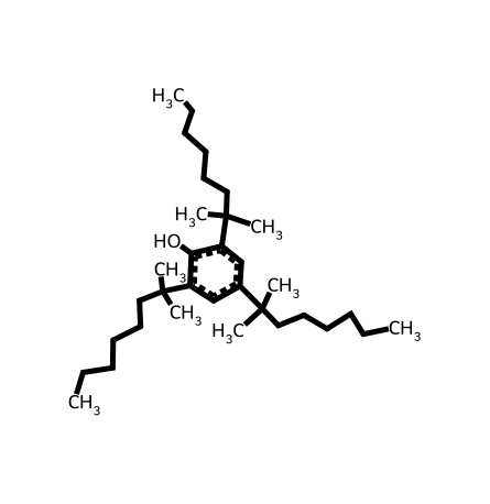 CCCCCCC(C)(C)c1cc(C(C)(C)CCCCCC)c(O)c(C(C)(C)CCCCCC)c1